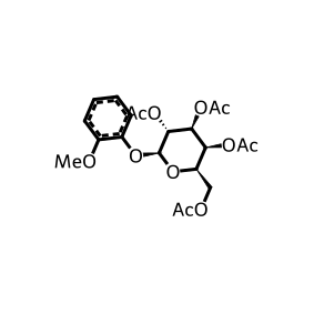 COc1ccccc1O[C@@H]1O[C@H](COC(C)=O)[C@H](OC(C)=O)[C@H](OC(C)=O)[C@H]1OC(C)=O